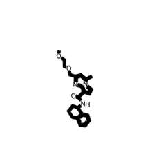 COCCOCc1cc(C)n2ccc(C(=O)NC3CCCc4ccccc43)c2n1